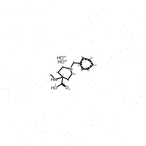 CNC1(C(=O)O)CCN(Cc2ccccc2)CC1.Cl.Cl